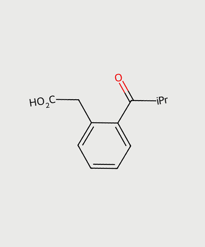 CC(C)C(=O)c1ccccc1CC(=O)O